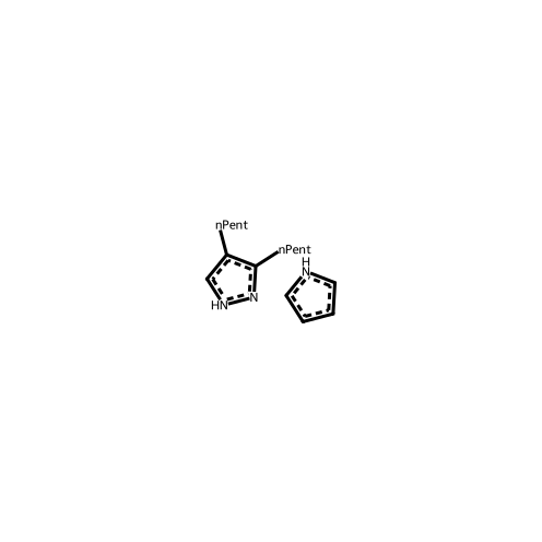 CCCCCc1c[nH]nc1CCCCC.c1cc[nH]c1